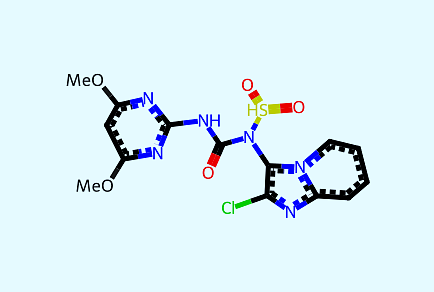 COc1cc(OC)nc(NC(=O)N(c2c(Cl)nc3ccccn23)[SH](=O)=O)n1